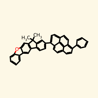 CC1(C)c2cc(-c3ccc4ccc5c(-c6ccccc6)ccc6ccc3c4c65)ccc2-c2cc3c(cc21)oc1ccccc13